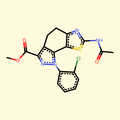 COC(=O)c1nn(-c2ccccc2Cl)c2c1CCc1nc(NC(C)=O)sc1-2